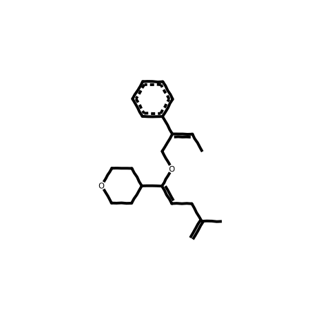 C=C(C)C/C=C(\OC/C(=C\C)c1ccccc1)C1CCOCC1